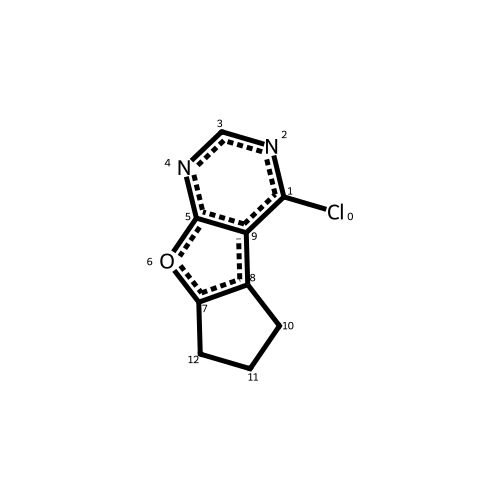 Clc1ncnc2oc3c(c12)CCC3